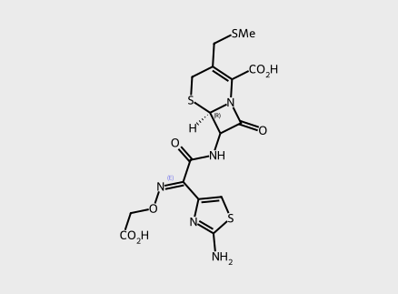 CSCC1=C(C(=O)O)N2C(=O)C(NC(=O)/C(=N/OCC(=O)O)c3csc(N)n3)[C@H]2SC1